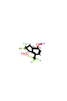 O[C@H]1c2c(C(F)(F)F)ccc(OI)c2CC1(F)F